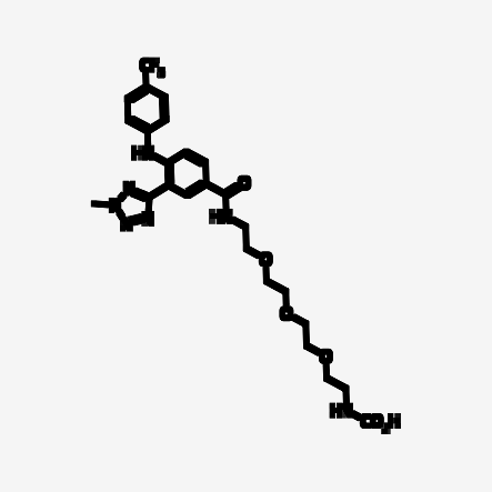 Cn1nnc(-c2cc(C(=O)NCCOCCOCCOCCNC(=O)O)ccc2Nc2ccc(C(F)(F)F)cc2)n1